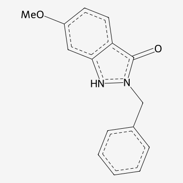 COc1ccc2c(=O)n(Cc3ccccc3)[nH]c2c1